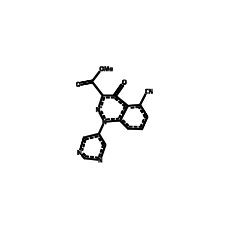 COC(=O)c1nn(-c2cncnc2)c2cccc(C#N)c2c1=O